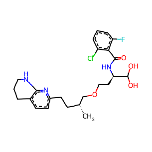 C[C@H](CCc1ccc2c(n1)NCCC2)COCC[C@@H](NC(=O)c1c(F)cccc1Cl)C(O)O